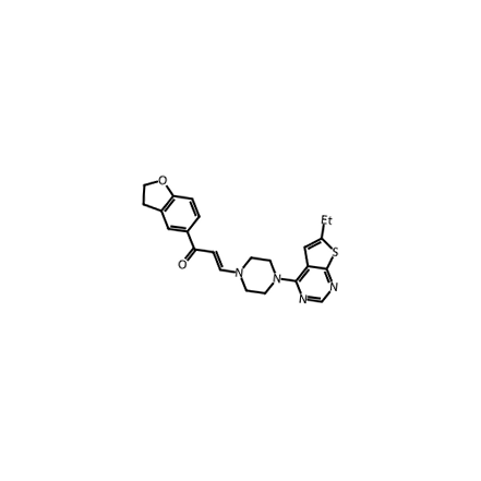 CCc1cc2c(N3CCN(C=CC(=O)c4ccc5c(c4)CCO5)CC3)ncnc2s1